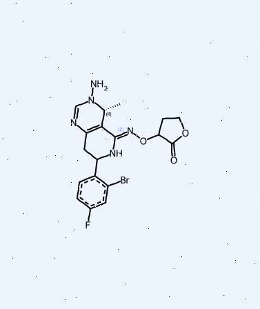 C[C@@H]1C2=C(CC(c3ccc(F)cc3Br)N/C2=N\OC2CCOC2=O)N=CN1N